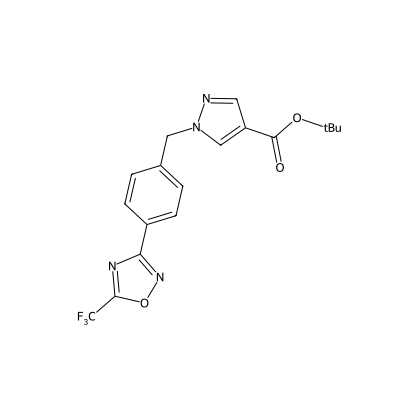 CC(C)(C)OC(=O)c1cnn(Cc2ccc(-c3noc(C(F)(F)F)n3)cc2)c1